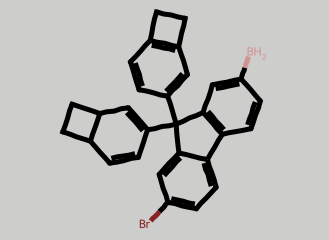 Bc1ccc2c(c1)C(C1=CC3CCC3C=C1)(c1ccc3c(c1)CC3)c1cc(Br)ccc1-2